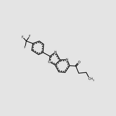 CCCC(=O)c1ccc2oc(-c3ccc(C(F)(F)F)cc3)nc2n1